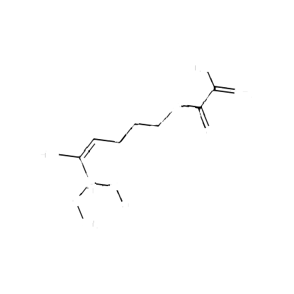 C=C(C)C(=O)OCCC[C]=C(C)[SiH](OC)OC